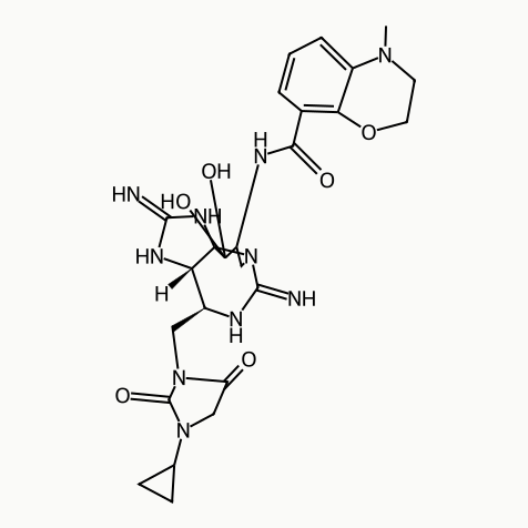 CN1CCOc2c(C(=O)NC3CN4C(=N)N[C@@H](CN5C(=O)CN(C6CC6)C5=O)[C@@H]5NC(=N)NC54C3(O)O)cccc21